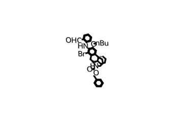 CCCCOc1cc2c(c(Br)c1Nc1ccccc1C=O)C[C@H]1C3CCCC[C@@]23CCCN1C(=O)OCc1ccccc1